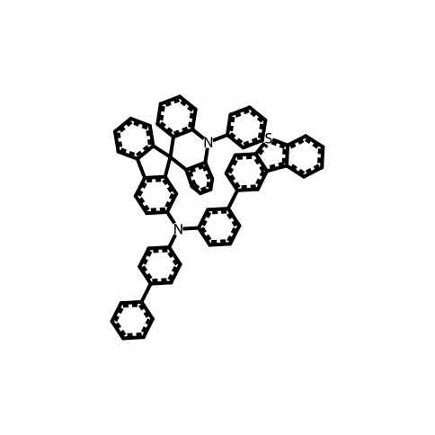 c1ccc(-c2ccc(N(c3cccc(-c4ccc5sc6ccccc6c5c4)c3)c3ccc4c(c3)C3(c5ccccc5-4)c4ccccc4N(c4ccccc4)c4ccccc43)cc2)cc1